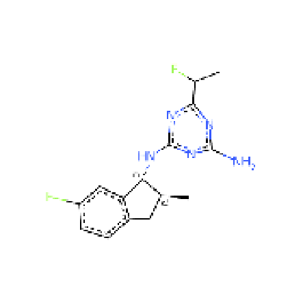 CC(F)c1nc(N)nc(N[C@H]2c3cc(F)ccc3C[C@@H]2C)n1